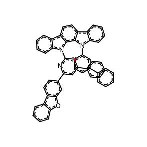 c1ccc(-c2cccc(-n3c4ccccc4c4ccc5c6ccccc6n(-c6nc(-c7ccccc7)cc(-c7ccc8c(c7)oc7ccccc78)n6)c5c43)c2)cc1